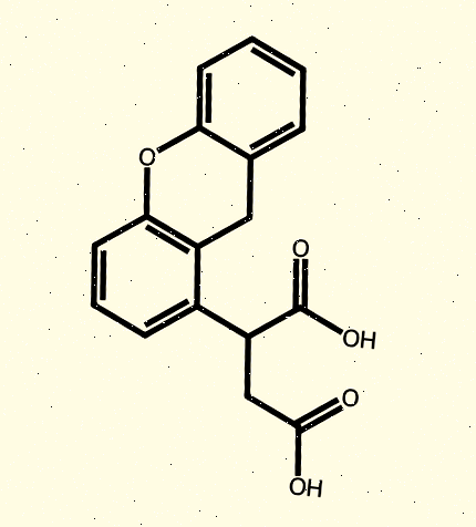 O=C(O)CC(C(=O)O)c1cccc2c1Cc1ccccc1O2